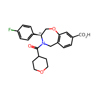 O=C(O)c1ccc2c(c1)OC[C@H](c1ccc(F)cc1)N(C(=O)C1CCOCC1)C2